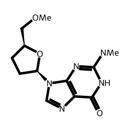 CNc1nc2c(ncn2[C@H]2CC[C@@H](COC)O2)c(=O)[nH]1